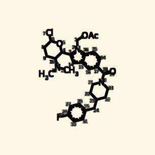 CC(=O)OCn1c(C2OC(Cl)CCC2N(C)C)cc2cc(C(=O)N3CCC(Cc4ccc(F)cc4)CC3)ccc21